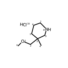 COCC1(C)CCCNC1.Cl